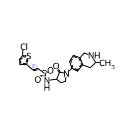 CC1Cc2cc(N3CCC(NS(=O)(=O)/C=C/c4ccc(Cl)s4)C3=O)ccc2CN1